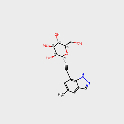 Cc1cc(C#C[C@H]2O[C@H](CO)[C@@H](O)[C@H](O)[C@@H]2O)c2[nH]ncc2c1